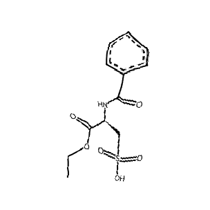 CCOC(=O)[C@H](CS(=O)(=O)O)NC(=O)c1ccccc1